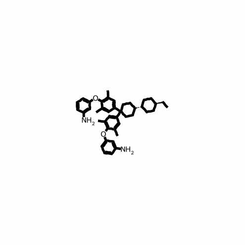 CC[C@H]1CC[C@H](C2CCC(c3cc(C)c(Oc4cccc(N)c4)c(C)c3)(c3cc(C)c(Oc4cccc(N)c4)c(C)c3)CC2)CC1